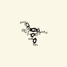 COc1ncc(-c2ccc3c(Nc4cc(Nc5cccc(O)c5)cc(C(=O)O)c4)c(C(N)=O)cnc3c2)c(OC)n1